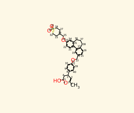 CC=CC(CC(=O)O)c1ccc(OCc2ccc3c(c2)-c2ccc(OCC4CCS(=O)(=O)CC4)cc2CCC3)cc1